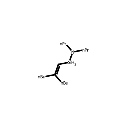 CCCCC(=C[SiH2]N(CCC)CCC)CCCC